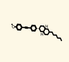 CCCCCCC1CC[C@@H]2C[C@H](c3ccc(C#Cc4ccc(OC)cc4)cc3)CC[C@@H]2C1